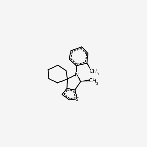 Cc1ccccc1N1[C@@H](C)c2sccc2C12CCCCC2